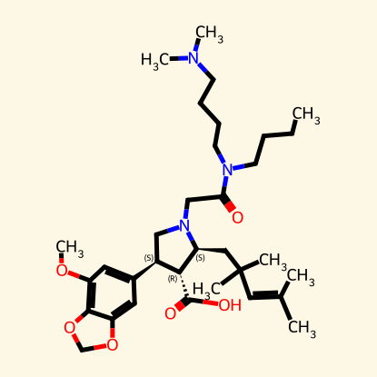 CCCCN(CCCCN(C)C)C(=O)CN1C[C@H](c2cc(OC)c3c(c2)OCO3)[C@@H](C(=O)O)[C@@H]1CC(C)(C)C=C(C)C